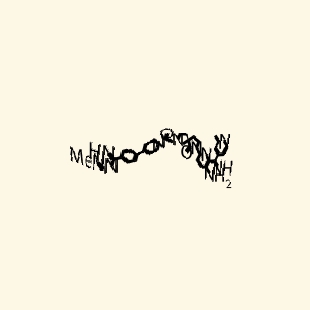 CN/C=N\C(=N)c1ccc(C2=CCN(C(=O)CN3CC[C@]4(CCN(c5ccc(N)c(C(=N)c6ccnc(C)c6)n5)C4=O)C3)CC2)cc1